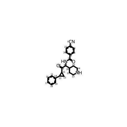 N#Cc1ccc(C(=O)NC(C(=O)C2CC2c2ccccc2)C2CCNCC2)cc1